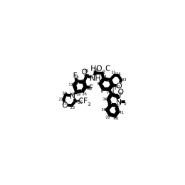 Cn1c(=O)c(-c2ccc(CC(NC(=O)c3c(F)cc(N4CCOC[C@@H]4C(F)(F)F)cc3F)C(=O)O)c3c2OCCC3)cc2ccccc21